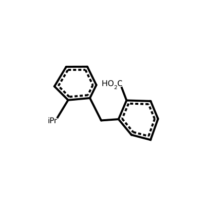 CC(C)c1ccccc1Cc1ccccc1C(=O)O